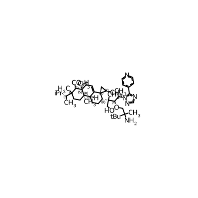 CC(C)[C@@H](C)[C@@]1(C)CC[C@]2(C)[C@H]3CC[C@@H](C(C)(CO)[C@@H](OCC(C)(N)C(C)(C)C)[C@@H](C)n4ncnc4-c4ccncc4)[C@]4(C[C@H]4C)C3=CC[C@@]2(C)[C@@H]1C(=O)O